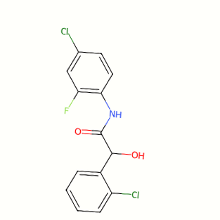 O=C(Nc1ccc(Cl)cc1F)C(O)c1ccccc1Cl